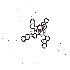 c1ccc2cc(-c3nc(-c4ccc5c(sc6cc7ccccc7cc65)c4-n4c5cc6ccccc6cc5c5c6ccccc6ccc54)nc(-c4cccc5c4oc4ccccc45)n3)ccc2c1